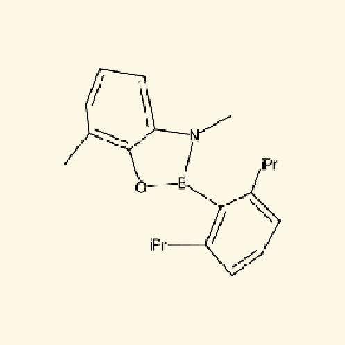 Cc1cccc2c1OB(c1c(C(C)C)cccc1C(C)C)N2C